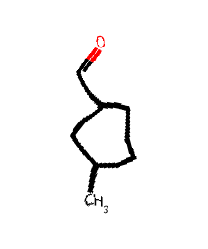 CC1CCC(C=O)C1